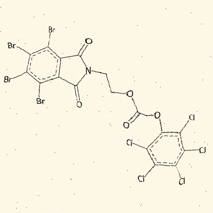 O=C(OCCN1C(=O)c2c(Br)c(Br)c(Br)c(Br)c2C1=O)Oc1c(Cl)c(Cl)c(Cl)c(Cl)c1Cl